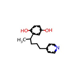 CC(CCCc1ccncc1)c1cc(O)ccc1O